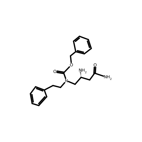 NC(=O)C[C@@H](N)CN(CCc1ccccc1)C(=O)OCc1ccccc1